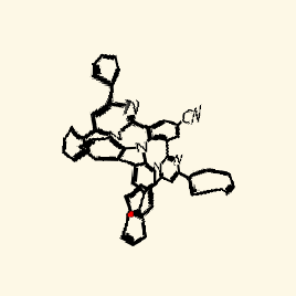 N#Cc1cc(-c2nc(-c3ccccc3)cc(-c3ccccc3)n2)c(-n2c3ccccc3c3cc(-c4ccccc4)ccc32)c(-c2nc(-c3ccccc3)cc(-c3ccccc3)n2)c1